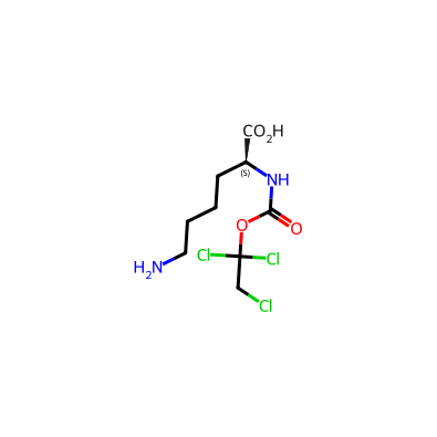 NCCCC[C@H](NC(=O)OC(Cl)(Cl)CCl)C(=O)O